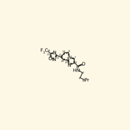 CC(C)CCNC(=O)c1cn2ccc(-c3noc(C(F)(F)F)n3)cc2n1